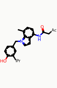 CC(=O)CC(=O)Nc1ccc(C)c2c1ccn2Cc1ccc(O)c(C(C)C)c1